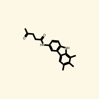 CC(=O)CCC(=O)Nc1ccc2[nH]c3c(C)c(C)c(C)cc3c2c1